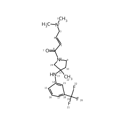 CN(C)C/C=C/C(=O)N1CCC(C)(Nc2cccc(C(F)(F)F)c2)C1